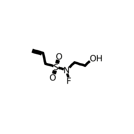 C=CCS(=O)(=O)N(F)CCO